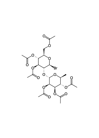 CC(=O)OC[C@H]1O[C@@H](Br)[C@H](O[C@@H]2O[C@@H](C)[C@H](OC(C)=O)[C@@H](OC(C)=O)[C@H]2OC(C)=O)[C@@H](OC(C)=O)[C@@H]1OC(C)=O